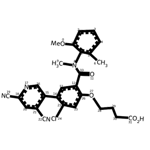 COc1cccc(C)c1N(C)C(=O)c1cc(-c2cnc(C#N)cc2C#N)c(Cl)cc1OCCCC(=O)O